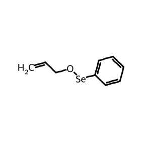 C=CCO[Se]c1ccccc1